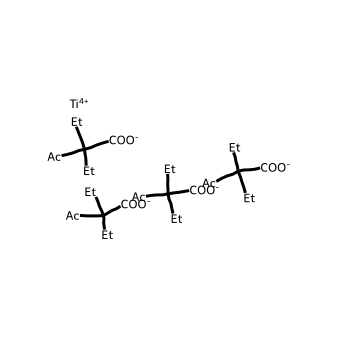 CCC(CC)(C(C)=O)C(=O)[O-].CCC(CC)(C(C)=O)C(=O)[O-].CCC(CC)(C(C)=O)C(=O)[O-].CCC(CC)(C(C)=O)C(=O)[O-].[Ti+4]